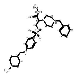 CN1CCC(COc2ccc(S(=O)(=O)NCC(C(=O)NO)N3CCN(Cc4ccccc4)CC3)cc2)CC1